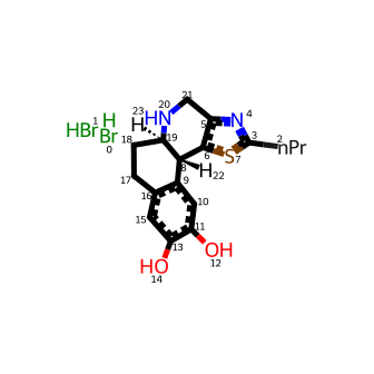 Br.Br.CCCc1nc2c(s1)[C@@H]1c3cc(O)c(O)cc3CC[C@H]1NC2